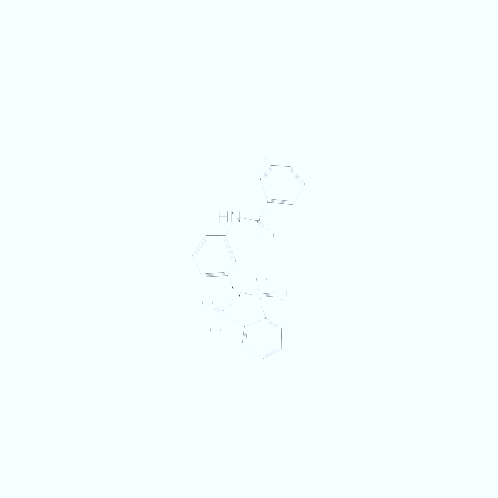 O=C(Nc1cccc(N2S(=O)(=O)c3ccccc3S2(=O)=O)c1)c1cccc(F)c1